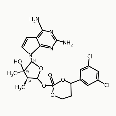 C[C@@H]1C(OP2(=O)OCCC(c3cc(Cl)cc(Cl)c3)O2)O[C@@H](n2ccc3c(N)nc(N)nc32)[C@]1(C)O